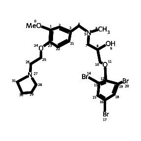 COc1cc(CN(C)CC(O)COc2c(Br)cc(Br)cc2Br)ccc1OCCN1CCCC1